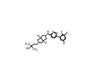 CC(C)(O)CCN1C[C@H]2C[C@H](Nc3ccc(-c4cc(F)cc(F)c4F)nn3)C[C@H]2C1